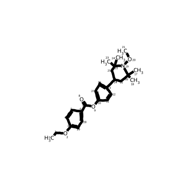 CCOc1ccc(C(=O)Oc2ccc(C3CC(C)(C)N(OC)C(C)(C)C3)cc2)cc1